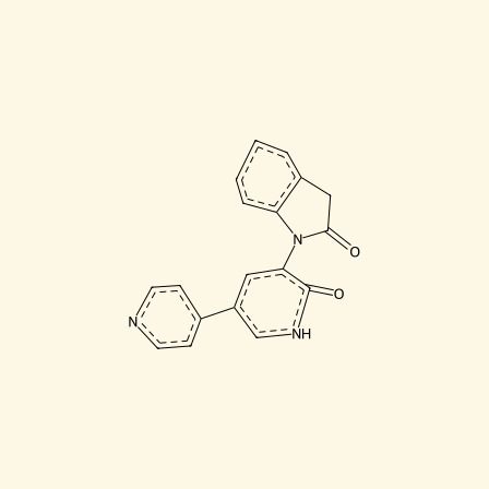 O=C1Cc2ccccc2N1c1cc(-c2ccncc2)c[nH]c1=O